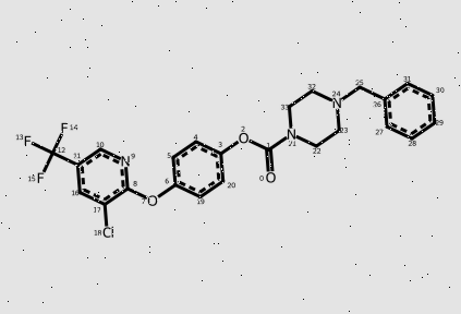 O=C(Oc1ccc(Oc2ncc(C(F)(F)F)cc2Cl)cc1)N1CCN(Cc2ccccc2)CC1